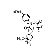 CCCCCCCCc1ccc(NC(=O)NC2CC[N+](C)(C)C2)cc1.O=C([O-])C(F)(F)F